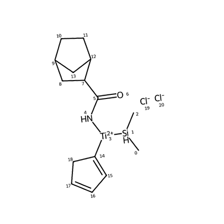 C[SiH](C)[Ti+2]([NH]C(=O)C1CC2CCC1C2)[C]1=CC=CC1.[Cl-].[Cl-]